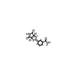 CN(C)C(=O)c1cccc(N2C[C@@H]3C(=O)NC(=O)[C@@H]3C2)c1